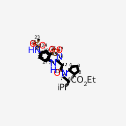 CCOC(=O)[C@@H]1CCC[C@@H]1N(CCC(C)C)C(=O)CC1=NS(=O)(=O)c2cc(NS(C)(=O)=O)ccc2N1